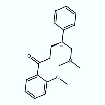 COc1ccccc1C(=O)CC[C@H](CN(C)C)c1ccccc1